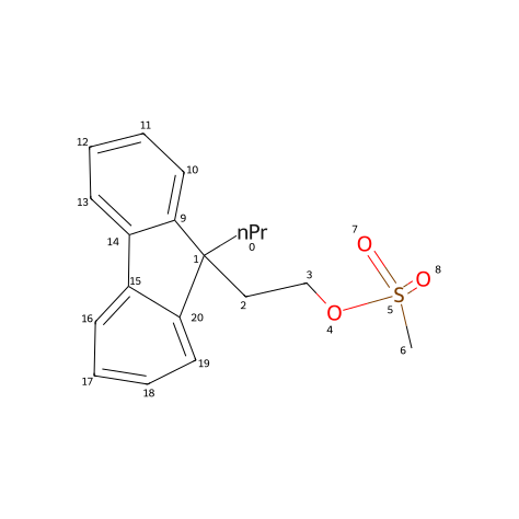 CCCC1(CCOS(C)(=O)=O)c2ccccc2-c2ccccc21